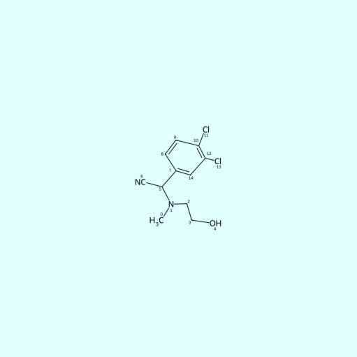 CN(CCO)C(C#N)c1ccc(Cl)c(Cl)c1